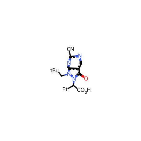 CCC(C(=O)O)n1c(=O)c2cnc(C#N)nc2n1CC(C)(C)C